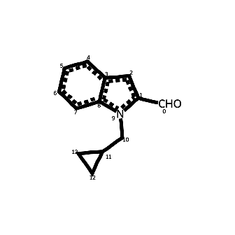 O=Cc1cc2ccccc2n1CC1CC1